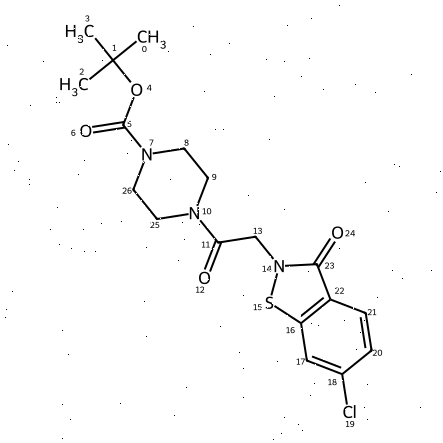 CC(C)(C)OC(=O)N1CCN(C(=O)Cn2sc3cc(Cl)ccc3c2=O)CC1